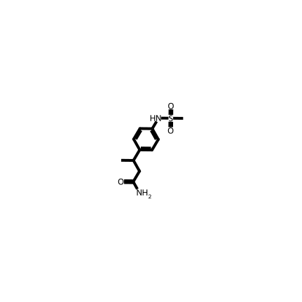 CC(CC(N)=O)c1ccc(NS(C)(=O)=O)cc1